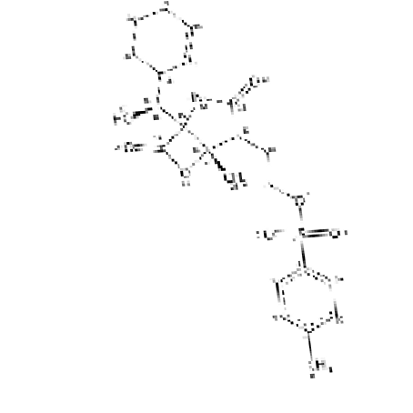 Cc1ccc(S(=O)(=O)OCCC2C(=O)NC3([C@@H](O)C4C=CCCC4)C(=O)O[C@@]23C)cc1